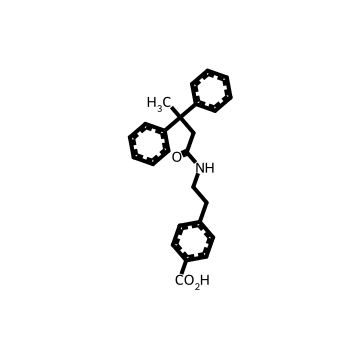 CC(CC(=O)NCCc1ccc(C(=O)O)cc1)(c1ccccc1)c1ccccc1